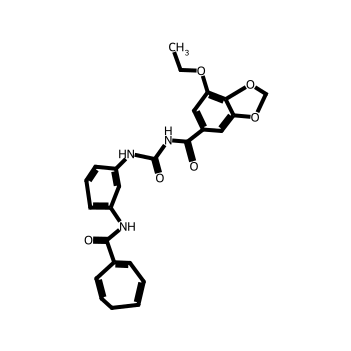 CCOc1cc(C(=O)NC(=O)Nc2cccc(NC(=O)C3=CC=CCC=C3)c2)cc2c1OCO2